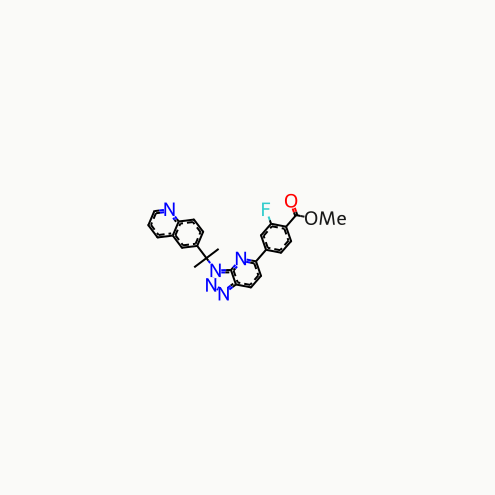 COC(=O)c1ccc(-c2ccc3nnn(C(C)(C)c4ccc5ncccc5c4)c3n2)cc1F